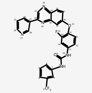 O=C(Nc1cccc(C(F)(F)F)c1)Nc1ccc(Oc2ccc3ncc(-c4cccnc4)nc3c2)c(F)c1